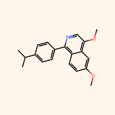 COc1ccc2c(-c3ccc(C(C)C)cc3)ncc(OC)c2c1